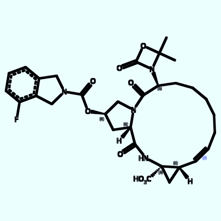 CC1(C)OC(=O)N1[C@H]1CCCCC/C=C\[C@@H]2C[C@@]2(C(=O)O)NC(=O)[C@@H]2C[C@@H](OC(=O)N3Cc4cccc(F)c4C3)CN2C1=O